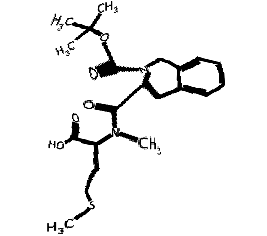 CSCCC(C(=O)O)N(C)C(=O)C1Cc2ccccc2CN1C(=O)OC(C)(C)C